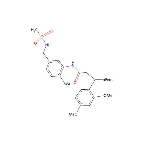 CCCCCC(CC(=O)Nc1cc(CNS(C)(=O)=O)ccc1C(C)(C)C)c1ccc(OC)cc1OC